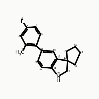 Cc1cc(F)ccc1-c1ccc2c(c1)C1(CCCC1)CN2